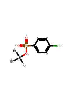 CC[Si](CC)(CC)OS(=O)(=O)c1ccc(Cl)cc1